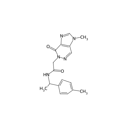 Cc1ccc(C(C)NC(=O)Cn2ncc3c(ncn3C)c2=O)cc1